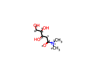 CN(C)C(=O)CC(O)C(O)CO